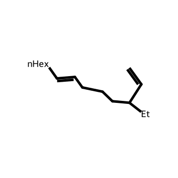 C=CC(CC)CCCC=CCCCCCC